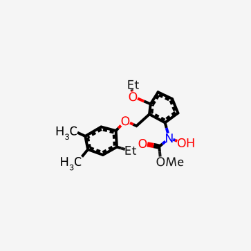 CCOc1cccc(N(O)C(=O)OC)c1COc1cc(C)c(C)cc1CC